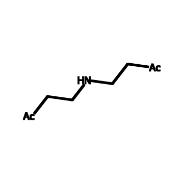 CC(=O)CCNCCC(C)=O